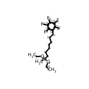 CCO[Si](C)(CCCCCCCc1c(F)c(F)c(F)c(F)c1F)OCC